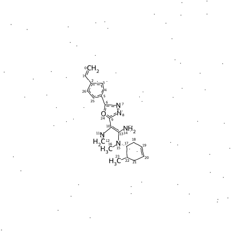 C=Cc1ccc(-c2nnc(/C(N=C)=C(\N)N(C)[C@@H]3CC=CCC3C)o2)cc1